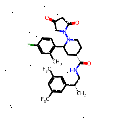 Cc1cc(F)ccc1C1C[C@@H](C(=O)NC[C@H](C)c2cc(C(F)(F)F)cc(C(F)(F)F)c2)CCN1N1CC(=O)CC1=O